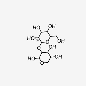 OCC1OC(OC2C(O)OCC(O)C2O)[C@@H](O)C(O)C1O